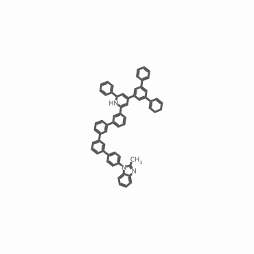 Cc1nc2ccccc2n1-c1ccc(-c2cccc(-c3cccc(-c4cccc(C5=CC(c6cc(C7=CCCC=C7)cc(-c7ccccc7)c6)=CC(c6ccccc6)N5)c4)c3)c2)cc1